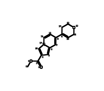 COC(=O)c1cc2cc(C3=CCOCC3)ccn2c1